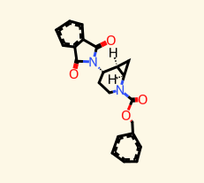 O=C(OCc1ccccc1)N1CC[C@H](N2C(=O)c3ccccc3C2=O)[C@H]2C[C@H]21